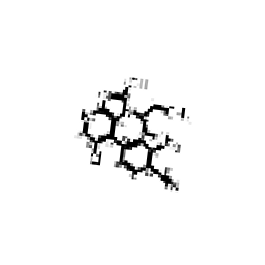 CCC(CC)n1c(O)nc2ncc(Cl)c(-c3ccc(C#N)c(F)c3)c21